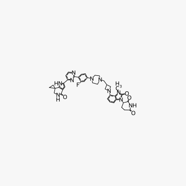 Cn1c(=O)n(C2CCC(=O)NC2=O)c2cccc(N3CC(CN4CCN(c5ccc(-c6nccc(-c7cc8c([nH]7)C7(CC7)CNC8=O)n6)c(F)c5)CC4)C3)c21